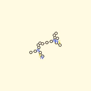 c1ccc(-c2ccc(N(c3ccc4c(ccc5ccc6cc(-c7ccc(-c8ccc(N(c9ccc%10c(n9)sc9ccccc9%10)c9cc%10ccc%11ccccc%11c%10c%10ccccc9%10)cc8)cc7)ccc6c54)c3)c3ccc4c(c3)sc3ncccc34)cc2)cc1